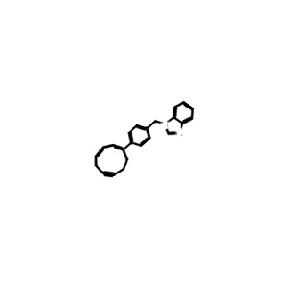 C1#CCC/C(c2ccc(Cn3cnc4ccccc43)cc2)=C\C=C/C1